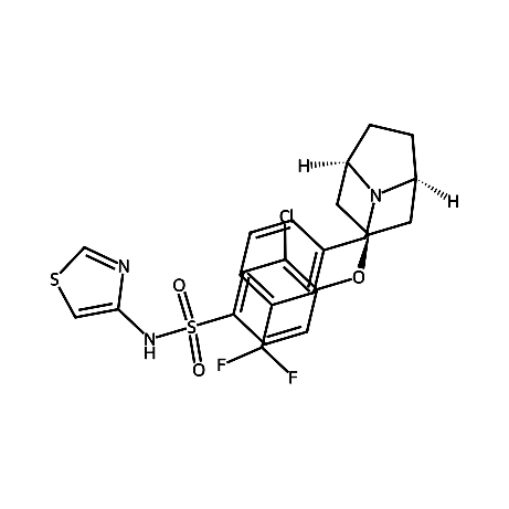 O=S(=O)(Nc1cscn1)c1ccc(O[C@H]2C[C@H]3CC[C@@H](C2)N3Cc2cccc(C(F)F)c2)c(Cl)c1